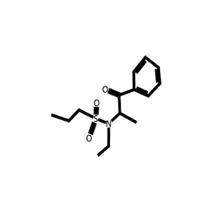 CCCS(=O)(=O)N(CC)C(C)C(=O)c1ccccc1